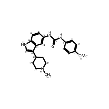 COc1ccc(NC(=S)Nc2ccc3[nH]cc(C4CCN(C)CC4)c3c2)cc1